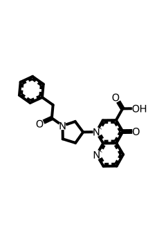 O=C(O)c1cn(C2CCN(C(=O)Cc3ccccc3)C2)c2ncccc2c1=O